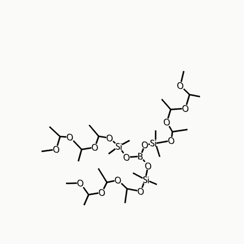 COC(C)OC(C)OC(C)O[Si](C)(C)OB(O[Si](C)(C)OC(C)OC(C)OC(C)OC)O[Si](C)(C)OC(C)OC(C)OC(C)OC